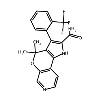 CC1(C)Oc2cnccc2-c2[nH]c(C(N)=O)c(-c3ccccc3C(F)(F)F)c21